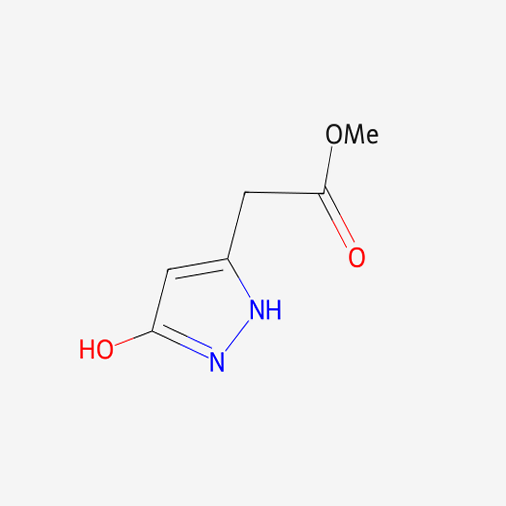 COC(=O)Cc1cc(O)n[nH]1